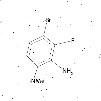 CNc1ccc(Br)c(F)c1N